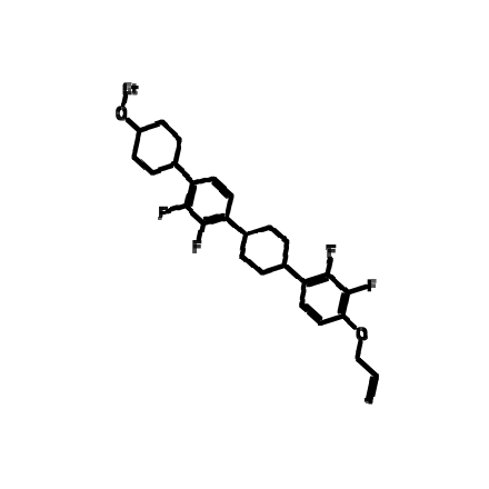 C=CCOc1ccc(C2CCC(c3ccc(C4CCC(OCC)CC4)c(F)c3F)CC2)c(F)c1F